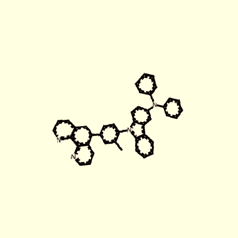 Cc1cc(-c2cc3cccnc3c3ncccc23)ccc1-n1c2ccccc2c2cc(N(c3ccccc3)c3ccccc3)ccc21